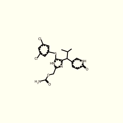 CC(C)C(c1ccc(=O)[nH]c1)c1nc(COC(N)=O)[nH]c1Sc1cc(Cl)cc(Cl)c1